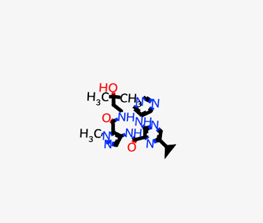 Cn1ncc(NC(=O)c2nc(C3CC3)cnc2Nc2cncnc2)c1C(=O)NCCC(C)(C)O